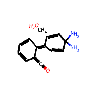 C.NC1(N)C=CC(=c2ccccc2=C=O)C=C1.O